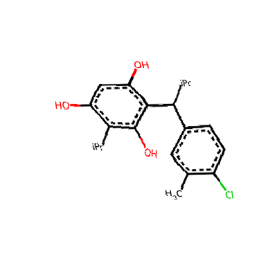 Cc1cc(C(c2c(O)cc(O)c(C(C)C)c2O)C(C)C)ccc1Cl